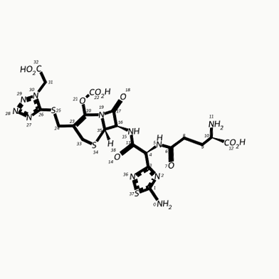 Nc1nc([C@H](NC(=O)CC[C@@H](N)C(=O)O)C(=O)N[C@@H]2C(=O)N3C(OC(=O)O)=C(CSc4nnnn4CC(=O)O)CS[C@@H]23)ns1